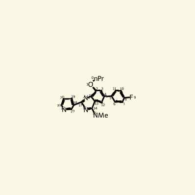 CCCOc1cc(-c2ccc(F)cc2)cc2c(NC)nc(-c3cccnc3)nc12